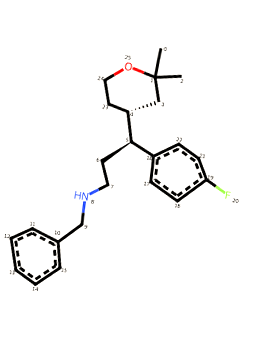 CC1(C)C[C@H]([C@H](CCNCc2ccccc2)c2ccc(F)cc2)CCO1